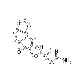 Cn1c(NC(=O)c2cnc(N)nc2)nc2c3c(ccc2c1=O)OCO3